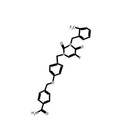 NC(=O)c1ccc(COc2ccc(Cn3cc(F)c(=O)n(Cc4ccccc4C(F)(F)F)c3=O)cc2)cc1